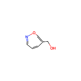 OCC1=CON=CC=C1